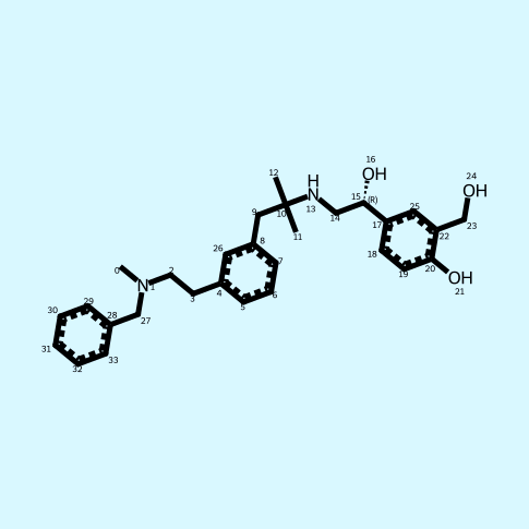 CN(CCc1cccc(CC(C)(C)NC[C@H](O)c2ccc(O)c(CO)c2)c1)Cc1ccccc1